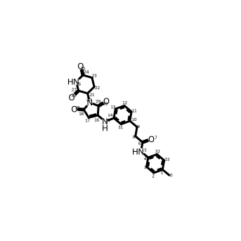 Cc1ccc(NC(=O)CCc2cccc(NC3=CC(=O)N(C4CCC(=O)NC4=O)C3=O)c2)cc1